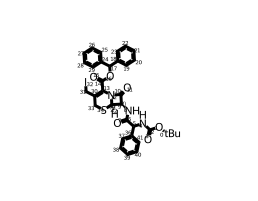 CC(C)(C)OC(=O)NC(C(=O)N[C@@H]1C(=O)N2C(C(=O)OC(c3ccccc3)c3ccccc3)=C(CI)CS[C@H]12)c1ccccc1